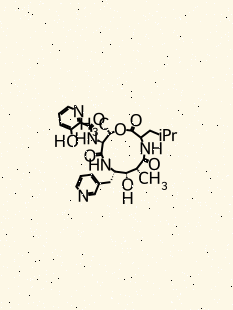 CC(C)CC1NC(=O)[C@H](C)[C@H](O)[C@H](Cc2cccnc2)NC(=O)[C@@H](NC(=O)c2ncccc2O)[C@@H](C)OC1=O